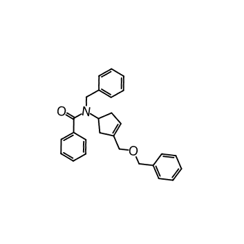 O=C(c1ccccc1)N(Cc1ccccc1)C1CC=C(COCc2ccccc2)C1